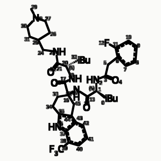 CCC(C)[C@H](NC(=O)Cc1ccccc1F)C(=O)N[C@]1(C(=O)N[C@H](C(=O)NCC2CCN(C)CC2)C(C)CC)CCc2[nH]c3c(C(F)(F)F)cccc3c2C1